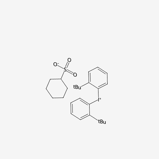 CC(C)(C)c1ccccc1[I+]c1ccccc1C(C)(C)C.O=S(=O)([O-])C1CCCCC1